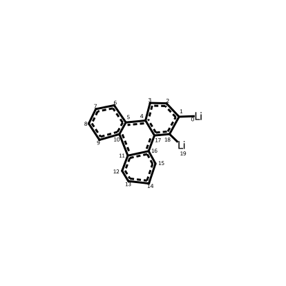 [Li][c]1ccc2c3ccccc3c3ccccc3c2[c]1[Li]